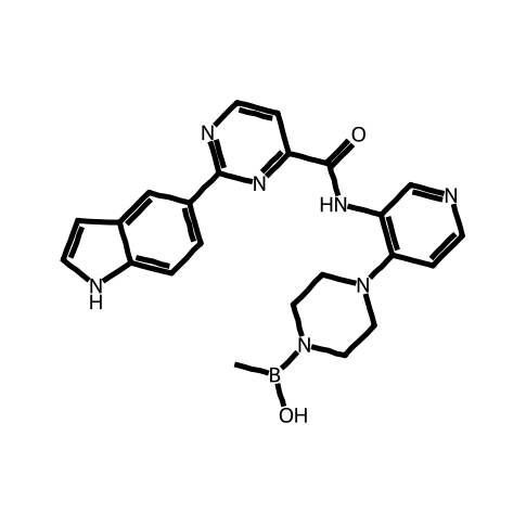 CB(O)N1CCN(c2ccncc2NC(=O)c2ccnc(-c3ccc4[nH]ccc4c3)n2)CC1